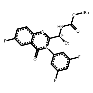 CC[C@H](NC(=O)OC(C)(C)C)c1nc2ccc(F)cc2c(=O)n1-c1cc(F)cc(F)c1